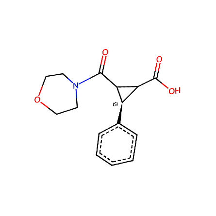 O=C(O)C1C(C(=O)N2CCOCC2)[C@@H]1c1ccccc1